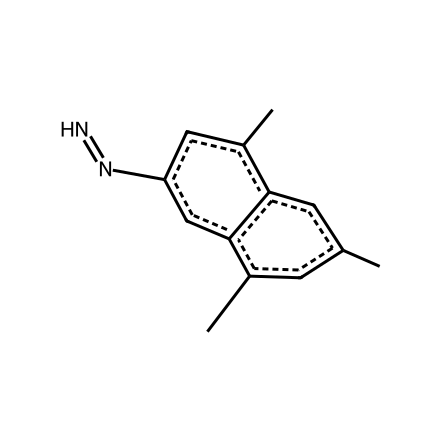 Cc1cc(C)c2cc(N=N)cc(C)c2c1